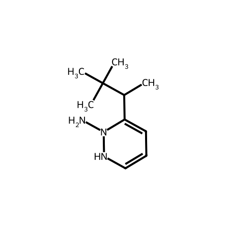 CC(C1=CC=CNN1N)C(C)(C)C